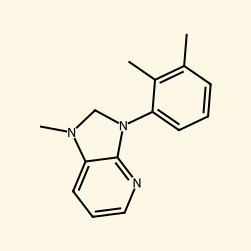 Cc1cccc(N2CN(C)c3cccnc32)c1C